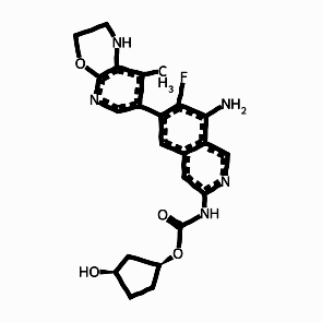 Cc1c(-c2cc3cc(NC(=O)O[C@H]4CC[C@@H](O)C4)ncc3c(N)c2F)cnc2c1NCCO2